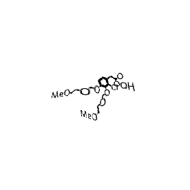 COCCOCOc1ccc(CC(=O)OO)c(Cl)c1OCOCCOC